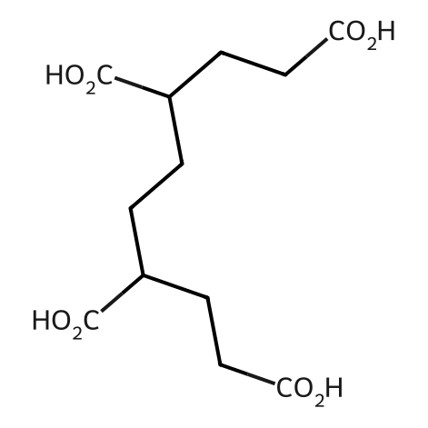 O=C(O)CCC(CCC(CCC(=O)O)C(=O)O)C(=O)O